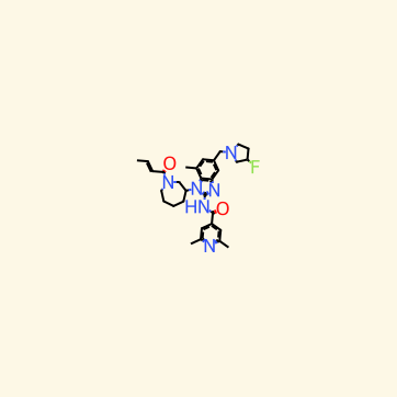 C/C=C/C(=O)N1CCCCC(n2c(NC(=O)c3cc(C)nc(C)c3)nc3cc(CN4CCC(F)C4)cc(C)c32)C1